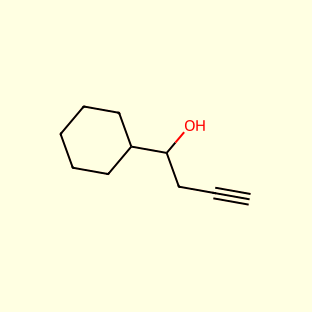 C#CCC(O)C1CCCCC1